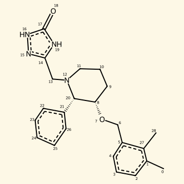 Cc1cccc(CO[C@H]2CCCN(Cc3n[nH]c(=O)[nH]3)[C@H]2c2ccccc2)c1C